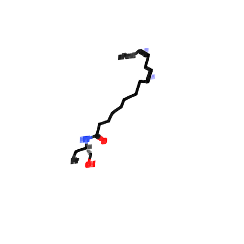 CCCCC/C=C\C/C=C\CCCCCCCC(=O)N[C@H](CO)CC(C)C